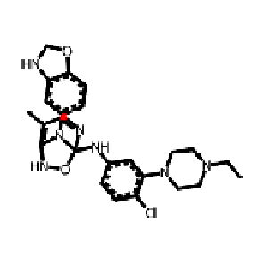 CCN1CCN(c2cc(NC34N=CC(C)=C(NO3)N4c3ccc4c(c3)NCO4)ccc2Cl)CC1